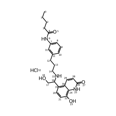 CCCCC(=O)Nc1cccc(CCCNC(CO)c2ccc(O)c3[nH]c(=O)ccc23)c1.Cl